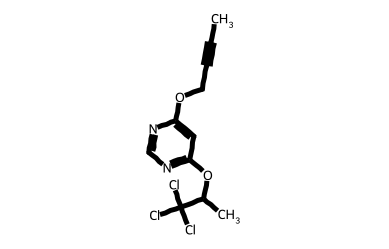 CC#CCOc1cc(OC(C)C(Cl)(Cl)Cl)ncn1